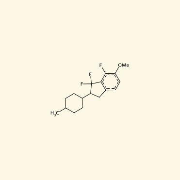 COc1ccc2c(c1F)C(F)(F)C(C1CCC(C)CC1)C2